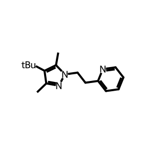 Cc1nn(CCc2ccccn2)c(C)c1C(C)(C)C